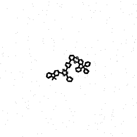 CC1(C)c2ccccc2-c2ccc(-c3nc(-c4ccccc4)nc(-c4ccc(-c5cccc6c5Oc5c(ccc7c5-c5ccccc5C7(c5ccccc5)c5ccccc5)O6)cc4)n3)cc21